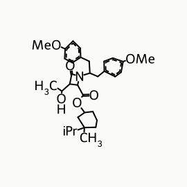 COc1ccc(CC(Cc2ccc(OC)cc2)N2C(=O)C(C(C)O)C2C(=O)OC2CCCC(C)(C(C)C)C2)cc1